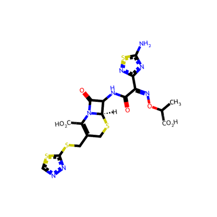 CC(O/N=C(\C(=O)NC1C(=O)N2C(C(=O)O)=C(CSc3nncs3)CS[C@H]12)c1nsc(N)n1)C(=O)O